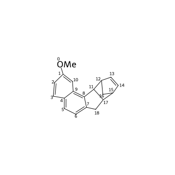 COc1ccc2ccc3c(c2c1)C1C2C=CC(C2)C1C3